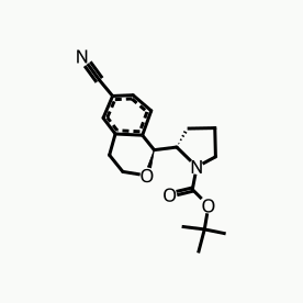 CC(C)(C)OC(=O)N1CCC[C@H]1[C@H]1OCCc2cc(C#N)ccc21